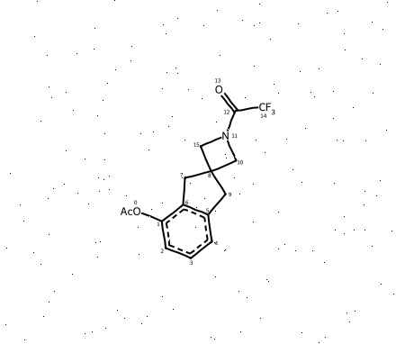 CC(=O)Oc1cccc2c1CC1(C2)CN(C(=O)C(F)(F)F)C1